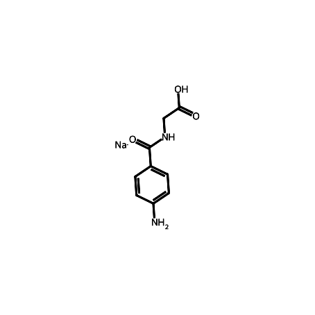 Nc1ccc(C(=O)NCC(=O)O)cc1.[Na]